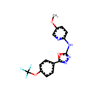 COc1ccc(Nc2nnc(-c3ccc(OC(F)(F)F)cc3)o2)nc1